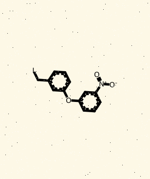 O=[N+]([O-])c1cccc(Oc2cccc(CI)c2)c1